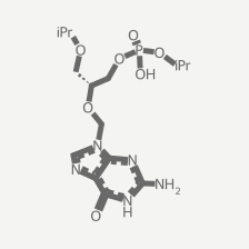 CC(C)OC[C@H](COP(=O)(O)OC(C)C)OCn1cnc2c(=O)[nH]c(N)nc21